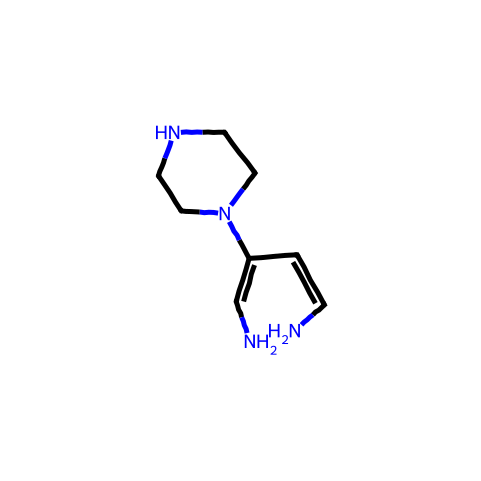 N/C=C\C(=C/N)N1CCNCC1